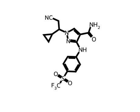 N#CCC(C1CC1)n1cc(C(N)=O)c(Nc2ccc(S(=O)(=O)C(F)(F)F)cc2)n1